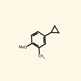 COc1ccc(C2CC2)cc1C